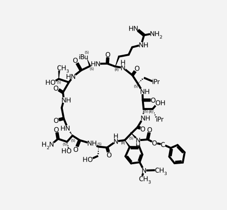 CC[C@H](C)[C@@H]1NC(=O)[C@@H](CCCNC(=N)N)NC(=O)[C@H](CC(C)C)NC(=O)[C@H]([C@H](O)C(C)C)NC(=O)[C@@H](NC(=O)OCc2ccccc2)[C@@H](c2ccc(N(C)C)cc2)NC(=O)[C@H](CO)NC(=O)[C@H]([C@H](O)C(N)=O)NC(=O)CNC(=O)C([C@H](C)O)NC1=O